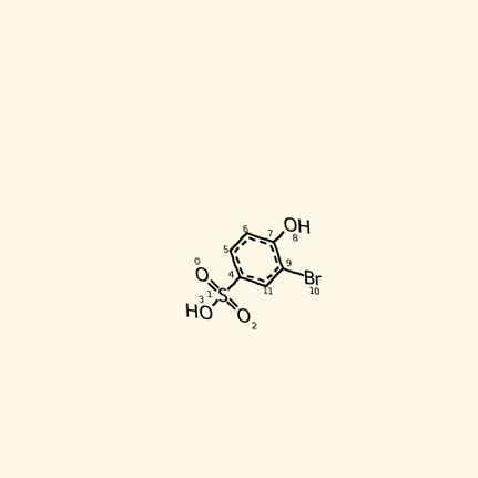 O=S(=O)(O)c1ccc(O)c(Br)c1